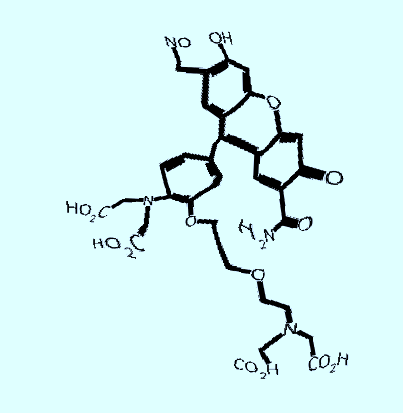 NC(=O)c1cc2c(-c3ccc(N(CC(=O)O)CC(=O)O)c(OCCOCCN(CC(=O)O)CC(=O)O)c3)c3cc(CN=O)c(O)cc3oc-2cc1=O